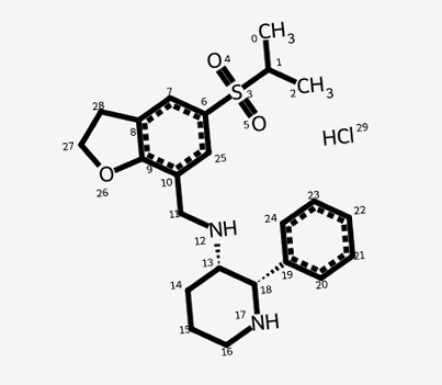 CC(C)S(=O)(=O)c1cc2c(c(CN[C@H]3CCCN[C@H]3c3ccccc3)c1)OCC2.Cl